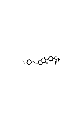 CCc1ccc(CCc2ccc3c(F)c(-c4ccc(OC(F)F)cc4)ccc3c2)cc1